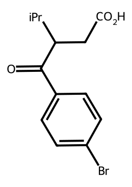 CC(C)C(CC(=O)O)C(=O)c1ccc(Br)cc1